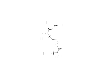 CC(C)NC(=O)[C@H](C)C(C)(C)CCC(C)NC(=O)[C@@H](C)C(C)(C)C